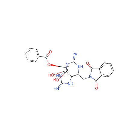 N=C1NC2C(CN3C(=O)c4ccccc4C3=O)NC(=N)N3C[C@H](OC(=O)c4ccccc4)C(O)(O)C23N1